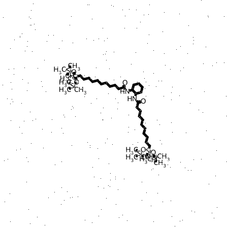 C[Si](C)(C)O[Si](C)(CCCCCCCCCCC(=O)NC1CCCCC1NC(=O)CCCCCCCCCC[Si](C)(O[Si](C)(C)C)O[Si](C)(C)C)O[Si](C)(C)C